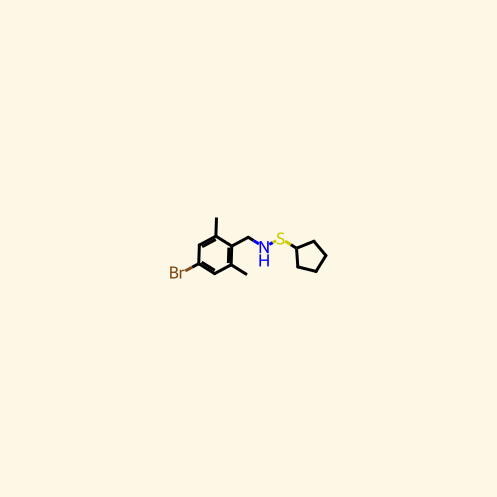 Cc1cc(Br)cc(C)c1CNSC1CCCC1